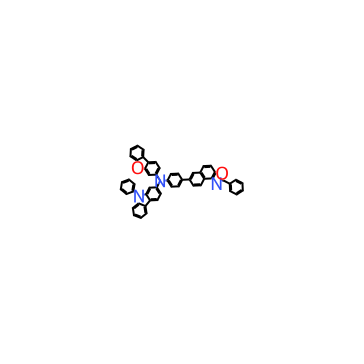 c1ccc(-c2nc3c(ccc4cc(-c5ccc(N(c6ccc7c(c6)oc6ccccc67)c6ccc7c8ccccc8n(-c8ccccc8)c7c6)cc5)ccc43)o2)cc1